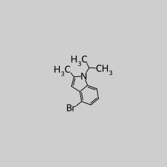 Cc1cc2c(Br)cccc2n1C(C)C